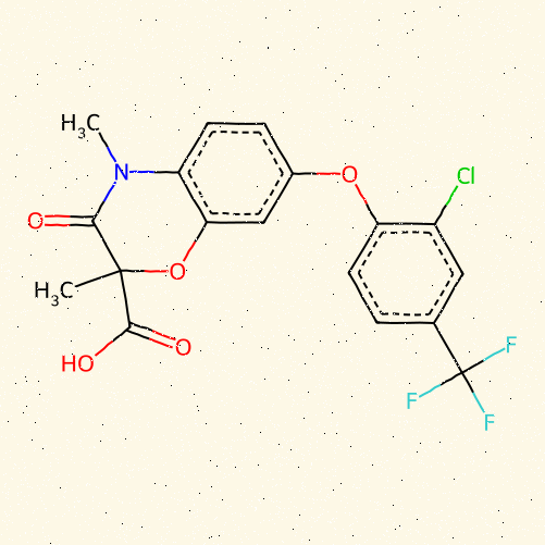 CN1C(=O)C(C)(C(=O)O)Oc2cc(Oc3ccc(C(F)(F)F)cc3Cl)ccc21